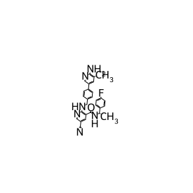 Cc1cc(-c2ccc(CNc3ncc(C#N)cc3C(=O)NC(C)c3ccc(F)cc3)cc2)cnc1N